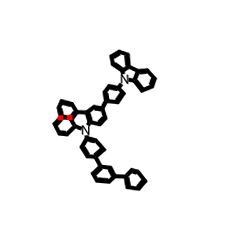 C1=CCC(N(c2ccc(-c3cccc(-c4ccccc4)c3)cc2)c2ccc(-c3ccc(-n4c5ccccc5c5ccccc54)cc3)cc2-c2ccccc2)C=C1